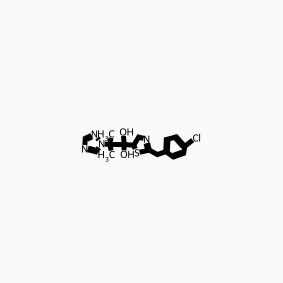 CC(C)(n1cncn1)C(O)(O)C1CN=C(Cc2ccc(Cl)cc2)S1